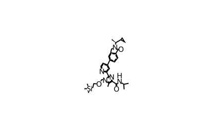 Cc1c(C(=O)NC(C)C)nc(-c2cc(-c3ccc4c(c3)CN([C@@H](C)C3CC3)C4=O)ccn2)n1COCC[Si](C)(C)C